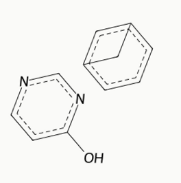 Oc1ccncn1.c1cc2cc(c1)C2